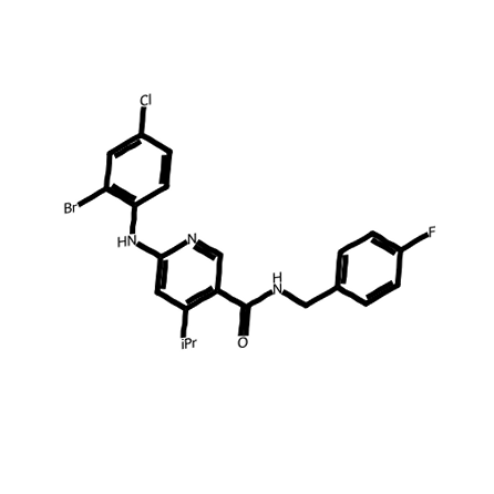 CC(C)c1cc(Nc2ccc(Cl)cc2Br)ncc1C(=O)NCc1ccc(F)cc1